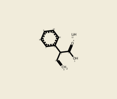 C=CC(C(=O)O)c1ccccc1.[LiH]